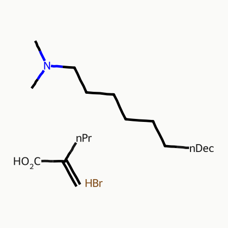 Br.C=C(CCC)C(=O)O.CCCCCCCCCCCCCCCCN(C)C